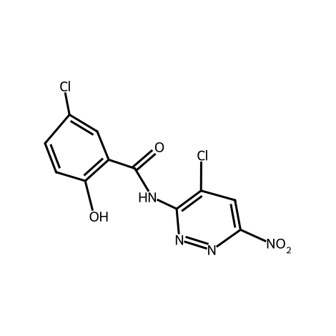 O=C(Nc1nnc([N+](=O)[O-])cc1Cl)c1cc(Cl)ccc1O